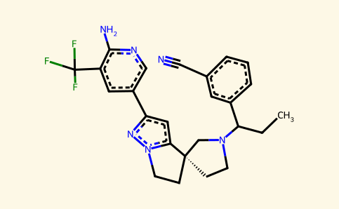 CCC(c1cccc(C#N)c1)N1CC[C@@]2(CCn3nc(-c4cnc(N)c(C(F)(F)F)c4)cc32)C1